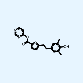 Cc1cc(CCc2ccc(C(=O)Oc3ccncn3)s2)cc(C)c1O